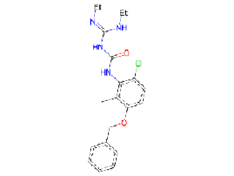 CCN=C(NCC)NC(=O)Nc1c(Cl)ccc(OCc2ccccc2)c1C